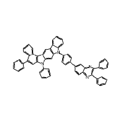 c1ccc(-c2nc3ccc(-c4ccc(-n5c6ccccc6c6cc7c8c9ccccc9c(-c9ccccc9)cc8n(-c8ccccc8)c7cc65)cc4)cc3nc2-c2ccccc2)cc1